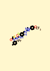 CCCc1ccc(C)cc1N1C(=O)CS/C1=N\C(=O)Nc1ccc(CNc2ncn(-c3ccc(OC(F)(F)F)cc3)n2)cc1F